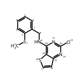 CSc1ccccc1CNc1nc(Cl)nc2ccsc12